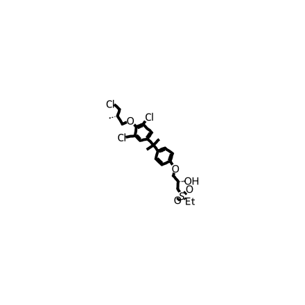 CCS(=O)(=O)C[C@@H](O)COc1ccc(C(C)(C)c2cc(Cl)c(OC[C@H](C)CCl)c(Cl)c2)cc1